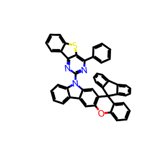 c1ccc(-c2nc(-n3c4ccccc4c4cc5c(cc43)C3(c4ccccc4O5)c4ccccc4-c4ccccc43)nc3c2sc2ccccc23)cc1